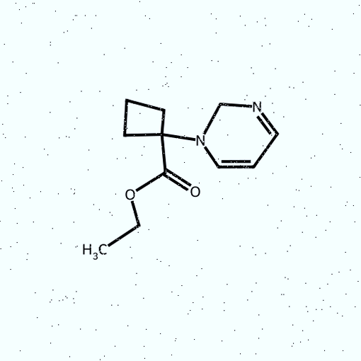 CCOC(=O)C1(N2C=CC=NC2)CCC1